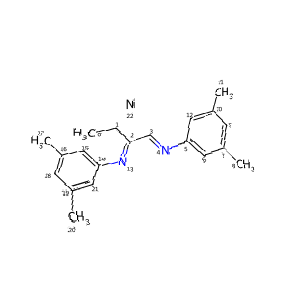 CCC(C=Nc1cc(C)cc(C)c1)=Nc1cc(C)cc(C)c1.[Ni]